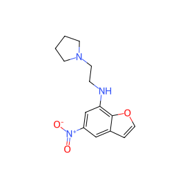 O=[N+]([O-])c1cc(NCCN2CCCC2)c2occc2c1